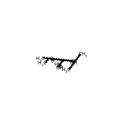 CCCCCCCCC(CCCCCCCC)OC(O)CCCCCCCN(CCCCCCCC(=O)OCCC(CCCC)CCCC)CCCNC(=O)CO